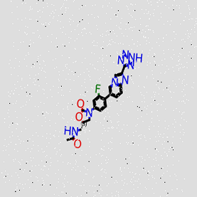 CC(=O)NC[C@H]1CN(c2ccc(-c3ccc4nc(-c5nn[nH]n5)cn4c3)c(F)c2)C(=O)O1